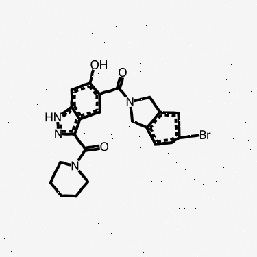 O=C(c1cc2c(C(=O)N3CCCCC3)n[nH]c2cc1O)N1Cc2ccc(Br)cc2C1